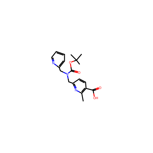 Cc1nc(CN(Cc2ccccn2)C(=O)OC(C)(C)C)ccc1C(=O)O